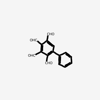 O=Cc1cc(-c2ccccc2)c(C=O)c(C=O)c1C=O